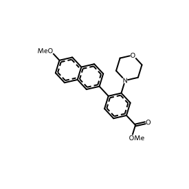 COC(=O)c1ccc(-c2ccc3cc(OC)ccc3c2)c(N2CCOCC2)c1